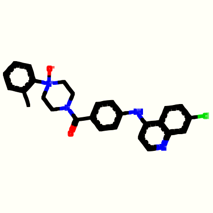 Cc1ccccc1[N+]1([O-])CCN(C(=O)c2ccc(Nc3ccnc4cc(Cl)ccc34)cc2)CC1